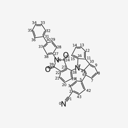 N#Cc1ccc(-c2cccc3c4ccccc4n(-c4cccc5c4C(=O)N(c4ccc(-c6ccccc6)cc4)C5=O)c23)cc1